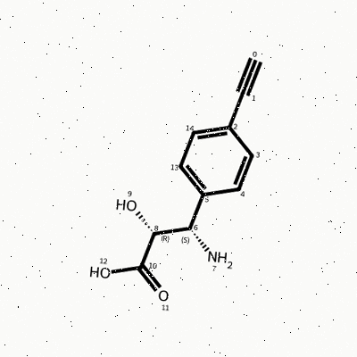 C#Cc1ccc([C@H](N)[C@@H](O)C(=O)O)cc1